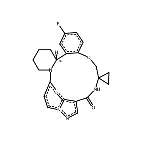 O=C1NC2(CC2)COc2ccc(F)cc2[C@H]2CCCCN2c2ccn3ncc1c3n2